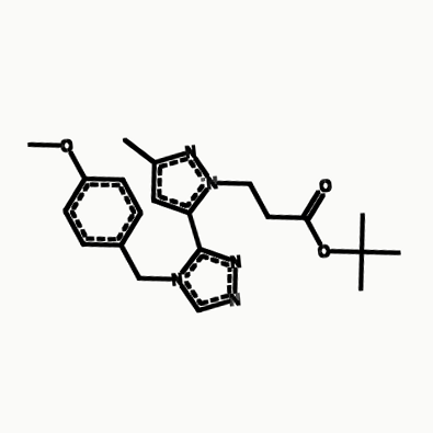 COc1ccc(Cn2cnnc2-c2cc(C)nn2CCC(=O)OC(C)(C)C)cc1